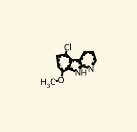 COc1ccc(Cl)c2c1[nH]c1ncccc12